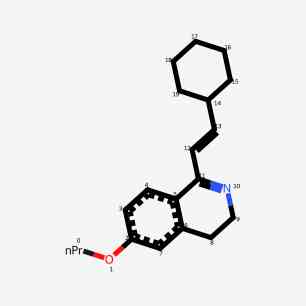 CCCOc1ccc2c(c1)CCN=C2/C=C/C1CCCCC1